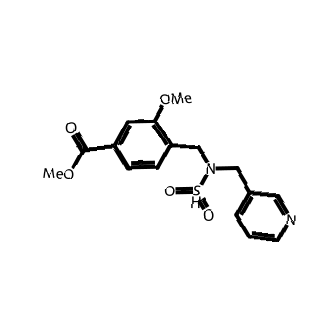 COC(=O)c1ccc(CN(Cc2cccnc2)[SH](=O)=O)c(OC)c1